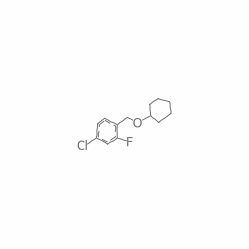 Fc1cc(Cl)ccc1COC1CCCCC1